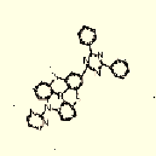 c1ccc(-c2nc(-c3ccccc3)nc(-c3cc4c5c(c3)Sc3cccc6c3B5c3c(cccc3N6c3ncccn3)S4)n2)cc1